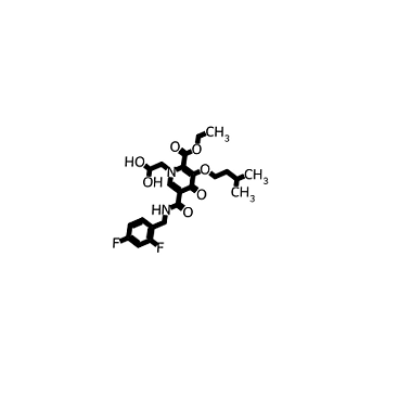 CCOC(=O)c1c(OCCC(C)C)c(=O)c(C(=O)NCc2ccc(F)cc2F)cn1CC(O)O